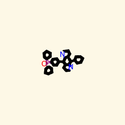 O=P(c1ccccc1)(c1ccccc1)c1ccc(-c2c3cccnc3c(-c3ccccc3)c3cccnc23)cc1